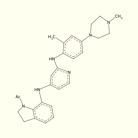 CC(=O)N1CCc2cccc(Nc3ccnc(Nc4ccc(N5CCN(C)CC5)cc4C)c3)c21